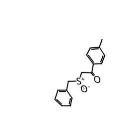 Cc1ccc(C(=O)C[S@+]([O-])Cc2ccccc2)cc1